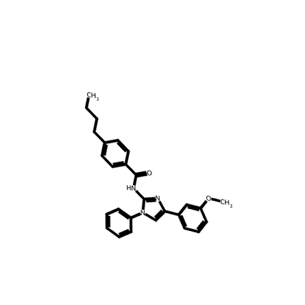 CCCCc1ccc(C(=O)Nc2nc(-c3cccc(OC)c3)cn2-c2ccccc2)cc1